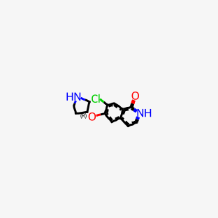 O=c1[nH]ccc2cc(O[C@@H]3CCNC3)c(Cl)cc12